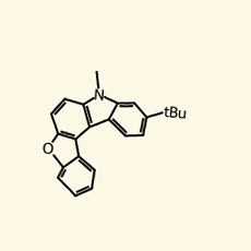 Cn1c2cc(C(C)(C)C)ccc2c2c3c(ccc21)oc1ccccc13